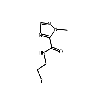 Cn1ncnc1C(=O)NCCF